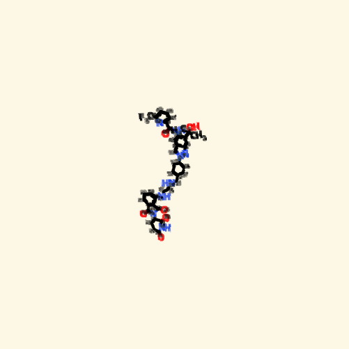 CC(C)(O)c1cc2nn(C3CCC(CNCCNc4cccc5c4C(=O)N(C4CCC(=O)NC4=O)C5=O)CC3)cc2cc1NC(=O)c1cccc(C(F)(F)F)n1